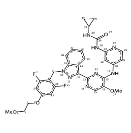 COCCOc1cc(F)c(Cn2nc(-c3ncc(OC)c(Nc4ccnc(NC(=O)NC5CC5)c4)n3)c3ccccc32)c(F)c1